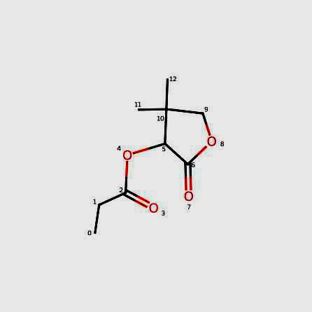 CCC(=O)OC1C(=O)OCC1(C)C